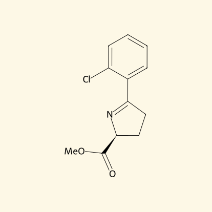 COC(=O)[C@@H]1CCC(c2ccccc2Cl)=N1